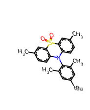 Cc1ccc2c(c1)S(=O)(=O)c1cc(C)ccc1N2c1c(C)cc(C(C)(C)C)cc1C